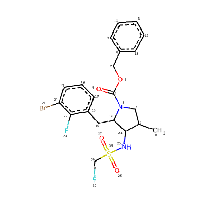 CC1CN(C(=O)OCc2ccccc2)C(Cc2cccc(Br)c2F)C1NS(=O)(=O)CF